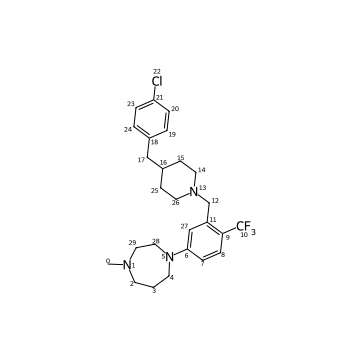 CN1CCCN(c2ccc(C(F)(F)F)c(CN3CCC(Cc4ccc(Cl)cc4)CC3)c2)CC1